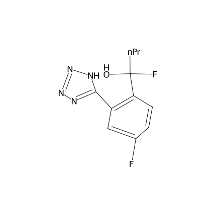 CCCC(O)(F)c1ccc(F)cc1-c1nnn[nH]1